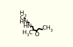 CCCC(=O)C(C)CNCNCC